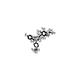 [2H]c1c([2H])c(C([2H])([2H])NC(=O)N(C2CCN(C([2H])([2H])[2H])CC2)C([2H])([2H])c2ccc(F)cc2)c([2H])c([2H])c1OC([2H])([2H])C(C)C